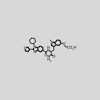 Cn1cc(CC(NC(=O)c2ccc3c(c2)nc(-c2ccoc2)n3C2CCCCC2)C(N)=O)c2cc(OCC(=O)O)ccc21